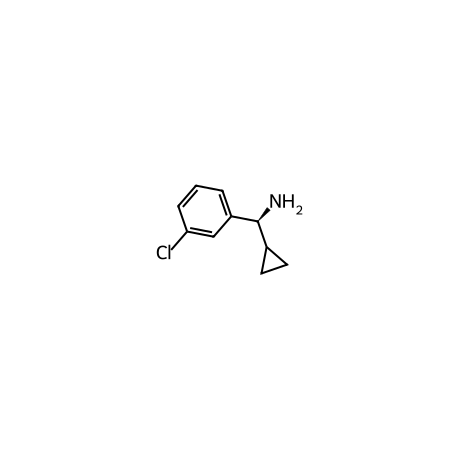 N[C@H](c1cccc(Cl)c1)C1CC1